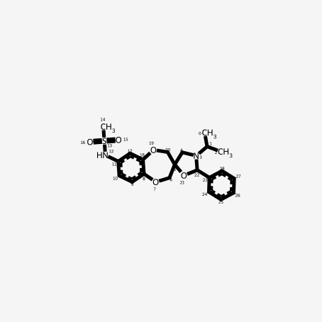 CC(C)N1CC2(COc3ccc(NS(C)(=O)=O)cc3OC2)OC1c1ccccc1